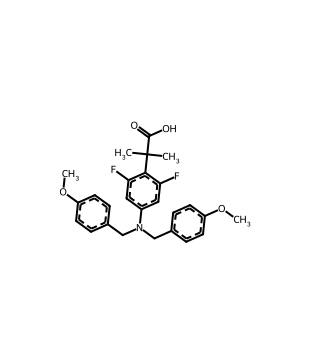 COc1ccc(CN(Cc2ccc(OC)cc2)c2cc(F)c(C(C)(C)C(=O)O)c(F)c2)cc1